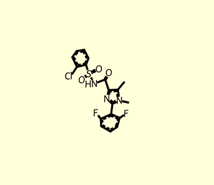 Cc1c(C(=O)NS(=O)(=O)c2ccccc2Cl)nc(-c2c(F)cccc2F)n1C